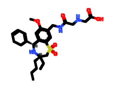 CCCC[C@]1(CC)CS(=O)(=O)c2cc(CNC(=O)CNCC(=O)O)c(OC)cc2[C@@H](C2=CC=CCC2)N1